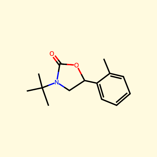 Cc1ccccc1C1CN(C(C)(C)C)C(=O)O1